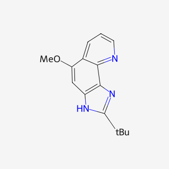 COc1cc2[nH]c(C(C)(C)C)nc2c2ncccc12